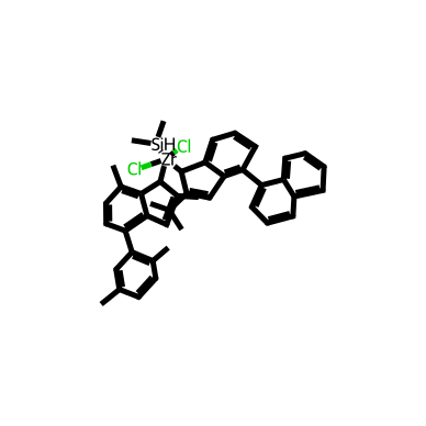 CC1=Cc2c(-c3cc(C)ccc3C)ccc(C)c2[CH]1[Zr]([Cl])([Cl])([CH]1C(C(C)C)=Cc2c(-c3cccc4ccccc34)cccc21)[SiH](C)C